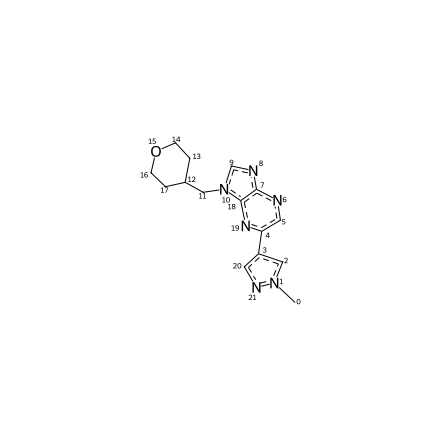 Cn1cc(-c2cnc3ncn(CC4CCOCC4)c3n2)cn1